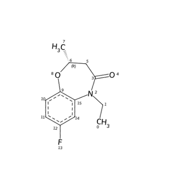 CCN1C(=O)C[C@@H](C)Oc2ccc(F)cc21